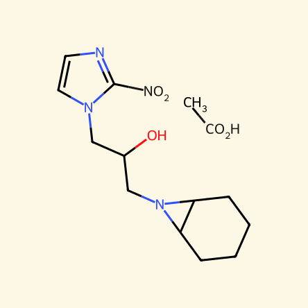 CC(=O)O.O=[N+]([O-])c1nccn1CC(O)CN1C2CCCCC21